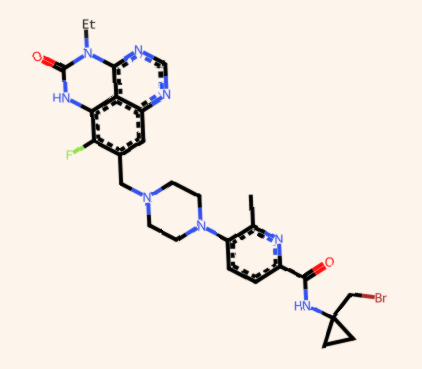 CCN1C(=O)Nc2c(F)c(CN3CCN(c4ccc(C(=O)NC5(CBr)CC5)nc4C)CC3)cc3ncnc1c23